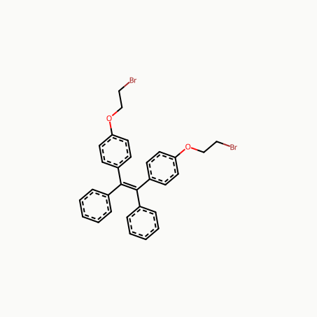 BrCCOc1ccc(C(=C(c2ccccc2)c2ccc(OCCBr)cc2)c2ccccc2)cc1